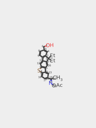 CCC1(CC)c2cc(CO)ccc2-c2cc3sc4ccc(/C(C)=N/OC(C)=O)cc4c3cc21